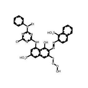 CCN(c1ccccc1)c1nc(Cl)nc(Nc2cc(S(=O)(=O)O)cc3cc(SOOO)c(/N=N/c4ccc5ccccc5c4S(=O)(=O)O)c(O)c23)n1